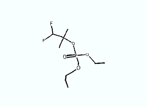 CCOP(=O)(OCC)OC(C)(C)C(F)F